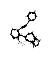 O=C(O)c1cccc(C#Cc2ccccc2)c1-c1ccc2ncsc2c1